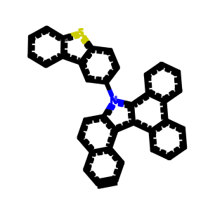 c1cc2ccc3c(c2cc#1)c1c2ccccc2c2ccccc2c1n3-c1ccc2sc3ccccc3c2c1